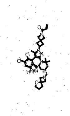 C=CC(=O)N1CC2(CC(n3nc(N4CC[C@@H](CN5CC6(CCCO6)C5)CC4(C)C)c(-c4c(Cl)c(Cl)cc5[nH]ncc45)c3C)C2)C1